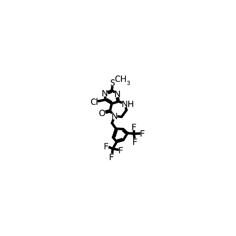 CSc1nc(Cl)c2c(n1)NCCN(Cc1cc(C(F)(F)F)cc(C(F)(F)F)c1)C2=O